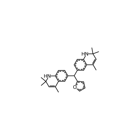 CC1=CC(C)(C)Nc2ccc(C(c3ccc4c(c3)C(C)=CC(C)(C)N4)c3ccco3)cc21